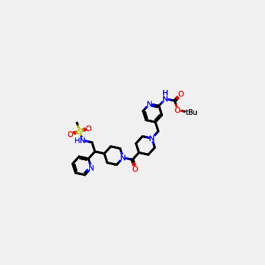 CC(C)(C)OC(=O)Nc1cc(CN2CCC(C(=O)N3CCC(C(CNS(C)(=O)=O)c4ccccn4)CC3)CC2)ccn1